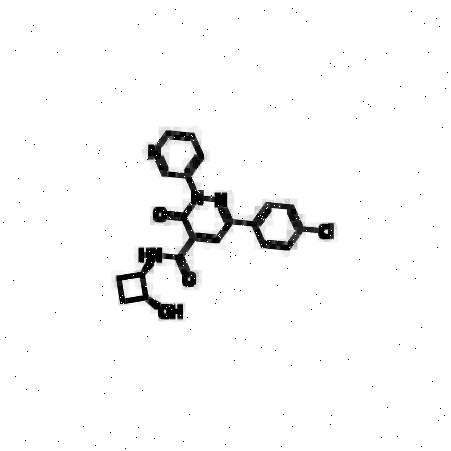 O=C(N[C@@H]1CC[C@@H]1O)c1cc(-c2ccc(Cl)cc2)nn(-c2cccnc2)c1=O